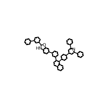 c1ccc(-c2cccc(C3Nc4ccc(-c5cccc(-c6ccc7ccccc7c6-c6ccc(-c7cc(-c8ccccc8)nc(-c8ccccc8)c7)cc6)c5)cc4O3)c2)cc1